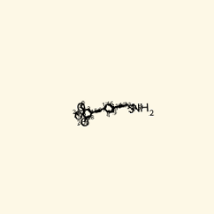 COc1cc(C#Cc2ccc(C#CCSN)cc2)cc(OC)c1OC